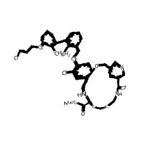 COC(=O)[C@@H]1CCCCNC(=O)c2cncc(c2)COc2cc(OCc3cccc(-c4cccc(OCCCCl)c4C)c3C)c(Cl)cc2CN1